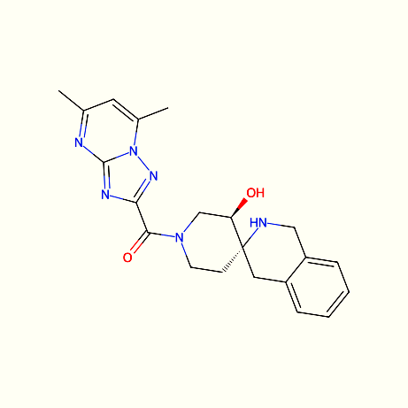 Cc1cc(C)n2nc(C(=O)N3CC[C@]4(Cc5ccccc5CN4)[C@H](O)C3)nc2n1